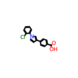 O=C(O)c1ccc(-c2ccn(-c3ccccc3Cl)c2)cc1